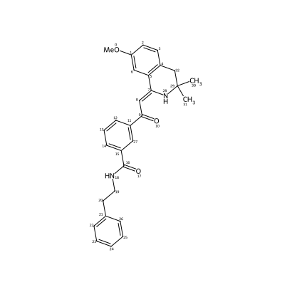 COc1ccc2c(c1)/C(=C/C(=O)c1cccc(C(=O)NCCc3ccccc3)c1)NC(C)(C)C2